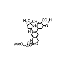 COCc1cc2c(cc1N1CC[C@@H](COC)C1)[C@H]1CCC(C)(C)N1n1cc(C(=O)O)c(=O)cc1-2